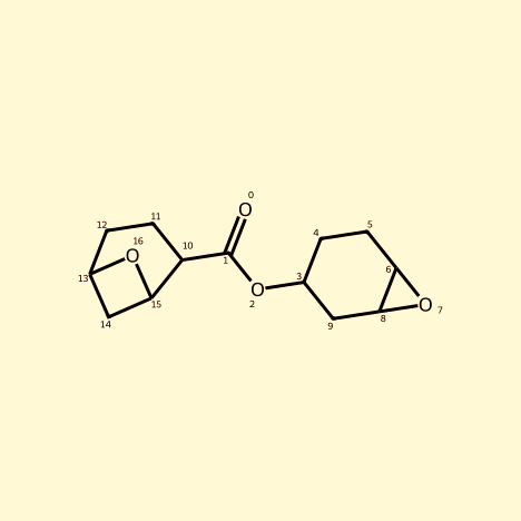 O=C(OC1CCC2OC2C1)C1CCC2CC1O2